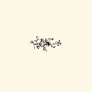 C[C@]12C[C@H](O)[C@@]3(F)[C@@H](C[C@H](F)C4=CC(=O)C=C[C@@]43C)[C@]1(C)C[C@H]1CN(c3cccc(OC(F)(F)F)c3)O[C@]12C(=O)CO